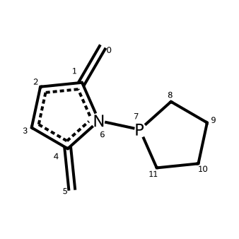 C=c1ccc(=C)n1P1CCCC1